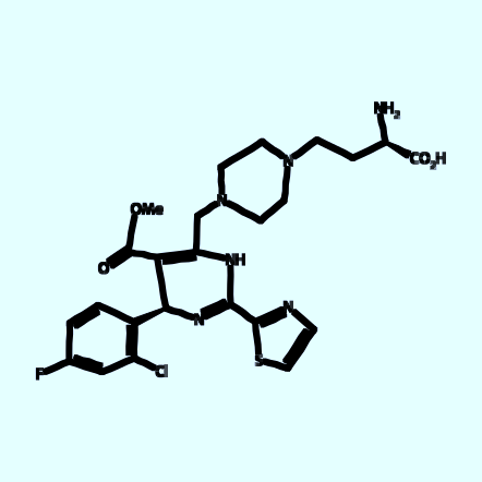 COC(=O)C1=C(CN2CCN(CC[C@@H](N)C(=O)O)CC2)NC(c2nccs2)=N[C@H]1c1ccc(F)cc1Cl